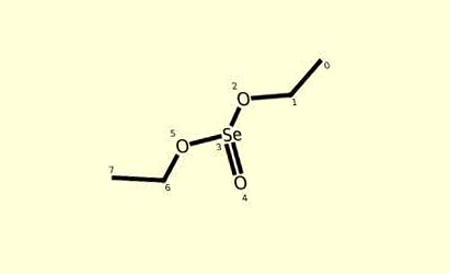 CCO[Se](=O)OCC